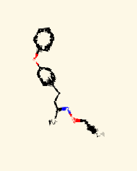 C#CCON=C(C)CCc1ccc(Oc2ccccc2)cc1